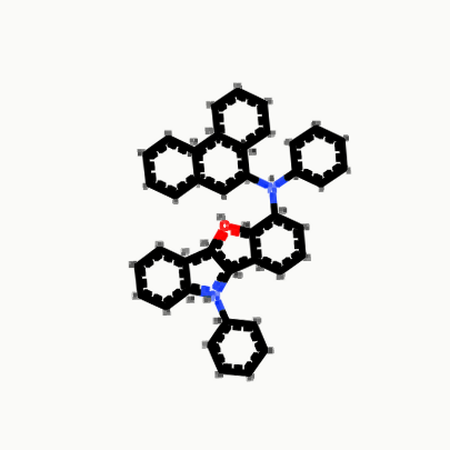 c1ccc(N(c2cc3ccccc3c3ccccc23)c2cccc3c2oc2c4ccccc4n(-c4ccccc4)c32)cc1